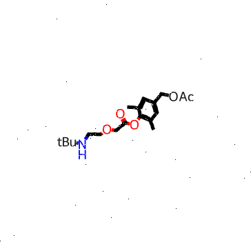 CC(=O)OCc1cc(C)c(OC(=O)COCCNC(C)(C)C)c(C)c1